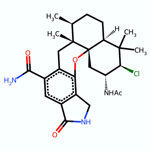 CC(=O)N[C@@H]1C[C@@]23Oc4c(c(C(N)=O)cc5c4CNC5=O)C[C@]2(C)[C@@H](C)CC[C@H]3C(C)(C)[C@H]1Cl